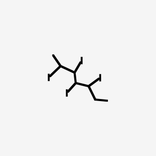 CCC(I)C(I)C(I)C(C)I